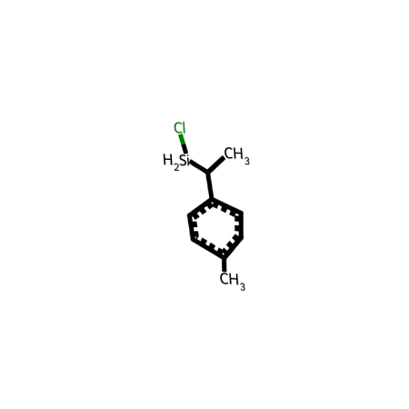 Cc1ccc(C(C)[SiH2]Cl)cc1